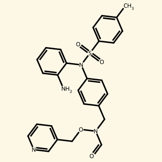 Cc1ccc(S(=O)(=O)N(c2ccc(CN(C=O)OCc3cccnc3)cc2)c2ccccc2N)cc1